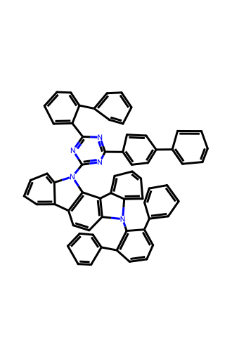 c1ccc(-c2ccc(-c3nc(-c4ccccc4-c4ccccc4)nc(-n4c5ccccc5c5ccc6c(c7ccccc7n6-c6c(-c7ccccc7)cccc6-c6ccccc6)c54)n3)cc2)cc1